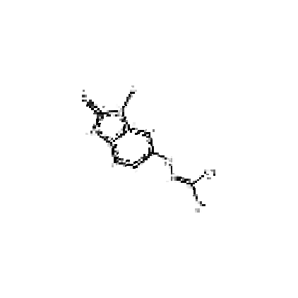 CC(C)n1c(=O)oc2ccc(NN=C(C#N)C#N)cc21